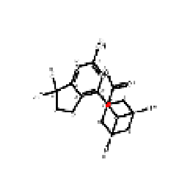 O=C(O)CC1[C@@H]2C[C@H]1CN(c1nc(O)nc3c1CCC3(F)F)C2